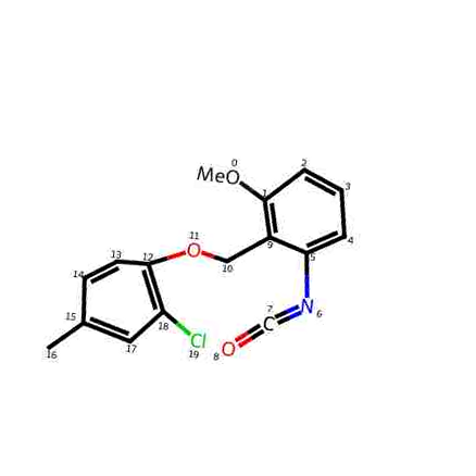 COc1cccc(N=C=O)c1COc1ccc(C)cc1Cl